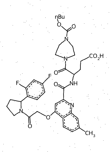 CCCCOC(=O)N1CCN(C(=O)C(CCC(=O)O)NC(=O)c2cc(OCC(=O)N3CCCC3c3ccc(F)cc3F)c3ccc(C)cc3n2)CC1